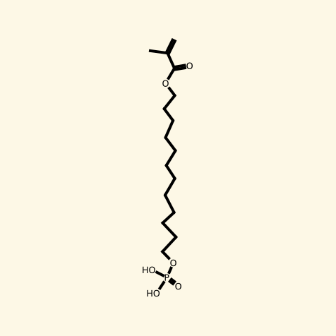 C=C(C)C(=O)OCCCCCCCCCCCCOP(=O)(O)O